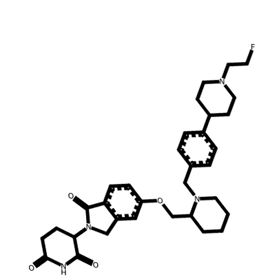 O=C1CCC(N2Cc3cc(OCC4CCCCN4Cc4ccc(C5CCN(CCF)CC5)cc4)ccc3C2=O)C(=O)N1